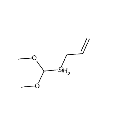 C=CC[SiH2]C(OC)OC